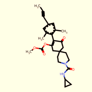 CC#Cc1cc(C)c(C2=C(OC(=O)OC)CC3(CCN(C(=O)NC4CC4)CC3)CC2=O)c(C)c1